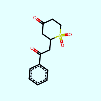 O=C1CCS(=O)(=O)C(CC(=O)c2ccccc2)C1